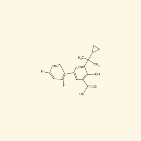 CC(C)(c1cc(-c2ccc(F)cc2F)cc(C(=O)O)c1O)C1CC1